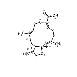 C=C1CO[C@H]2/C=C(\C)CC/C=C(\C(=O)O)CC/C=C(\C)CC[C@H]12